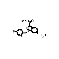 COC(=O)c1nn(Cc2ccc(F)cc2F)c2cc(C(=O)O)ccc12